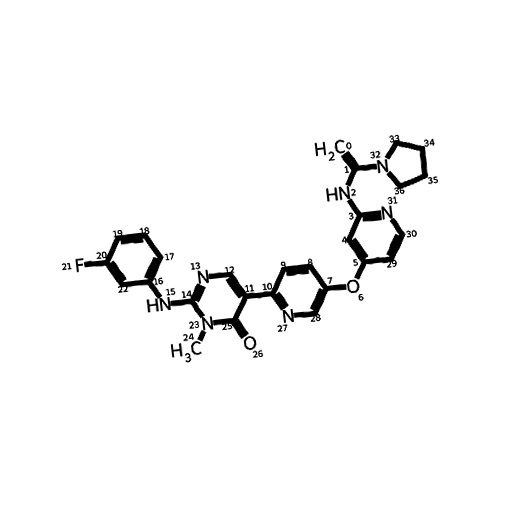 C=C(Nc1cc(Oc2ccc(-c3cnc(Nc4cccc(F)c4)n(C)c3=O)nc2)ccn1)N1CCCC1